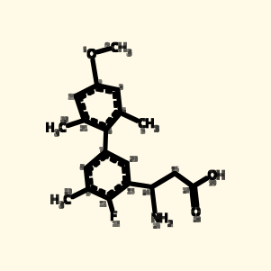 COc1cc(C)c(-c2cc(C)c(F)c(C(N)CC(=O)O)c2)c(C)c1